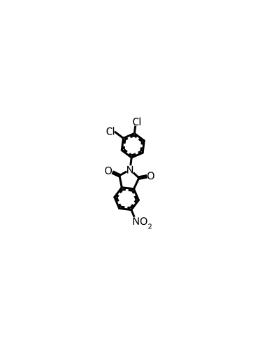 O=C1c2ccc([N+](=O)[O-])cc2C(=O)N1c1ccc(Cl)c(Cl)c1